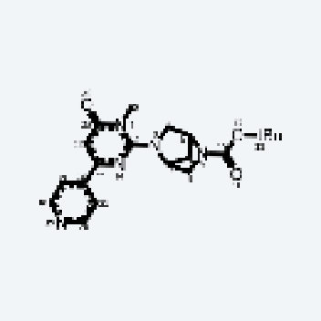 Cn1c(N2CC3CC2CN3C(=O)OC(C)(C)C)nc(-c2ccncc2)cc1=O